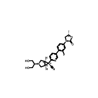 C[C@H]1CN(c2ccc(-c3ccc([C@@]4(C#N)[C@@H]5CN(C(CO)CO)C[C@@H]54)nc3)c(F)c2)C(=O)O1